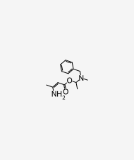 C/C(N)=C/C(=O)OC(C)N(C)Cc1ccccc1